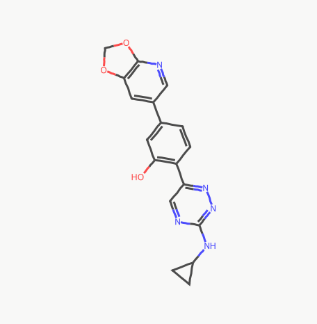 Oc1cc(-c2cnc3c(c2)OCO3)ccc1-c1cnc(NC2CC2)nn1